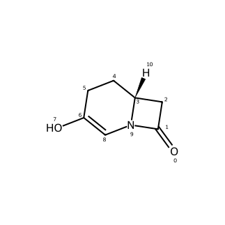 O=C1C[C@H]2CCC(O)=CN12